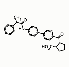 C[C@@H](C(=O)Nc1ccc(-c2ccc(C(=O)[C@@H]3CCC[C@H]3C(=O)O)nc2)cc1)c1ccccc1